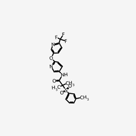 Cc1cccc(S(=O)(=O)C(C)(C)C(=O)Nc2ccc(Oc3ccc(C(F)(F)F)nc3)nc2)c1